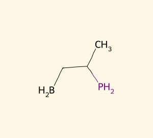 BCC(C)P